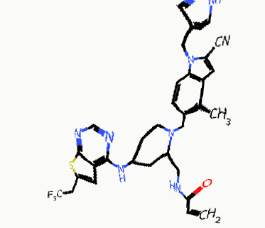 C=CC(=O)NCC1CC(Nc2ncnc3sc(CC(F)(F)F)cc23)CCN1Cc1ccc2c(cc(C#N)n2Cc2cn[nH]c2)c1C